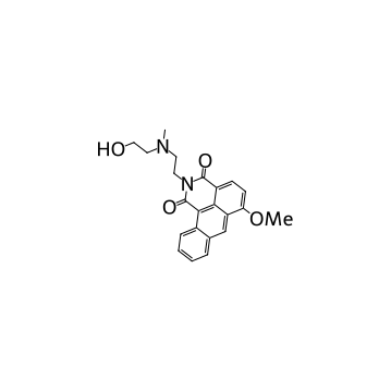 COc1ccc2c3c(c4ccccc4cc13)C(=O)N(CCN(C)CCO)C2=O